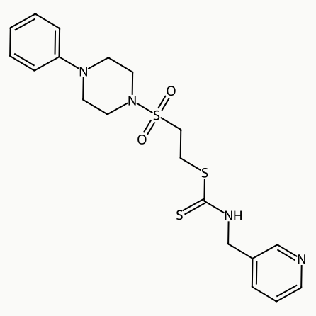 O=S(=O)(CCSC(=S)NCc1cccnc1)N1CCN(c2ccccc2)CC1